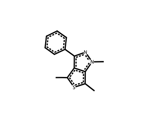 Cc1sc(C)c2c1c(-c1ccccc1)nn2C